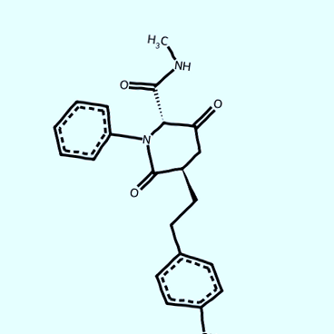 CNC(=O)[C@@H]1C(=O)C[C@@H](CCc2ccc(O)cc2)C(=O)N1c1ccccc1